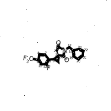 O=C1C[C@]2(CC2c2ccc(C(F)(F)F)cc2F)C(=O)N1Cc1ccccc1